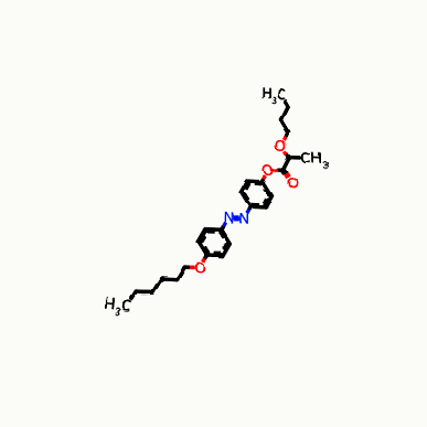 CCCCCCOc1ccc(N=Nc2ccc(OC(=O)C(C)OCCCC)cc2)cc1